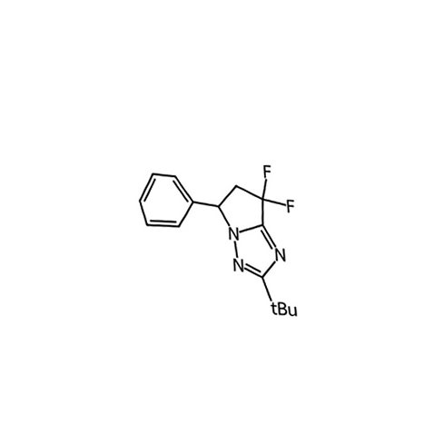 CC(C)(C)c1nc2n(n1)C(c1ccccc1)CC2(F)F